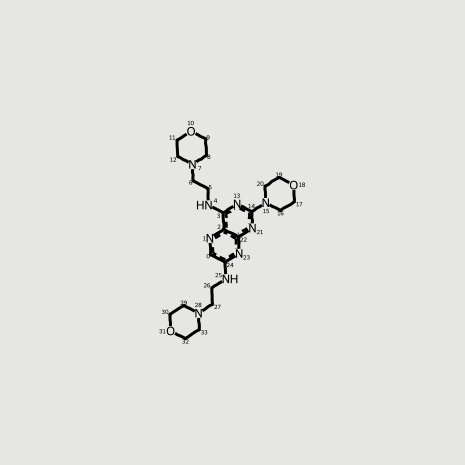 c1nc2c(NCCN3CCOCC3)nc(N3CCOCC3)nc2nc1NCCN1CCOCC1